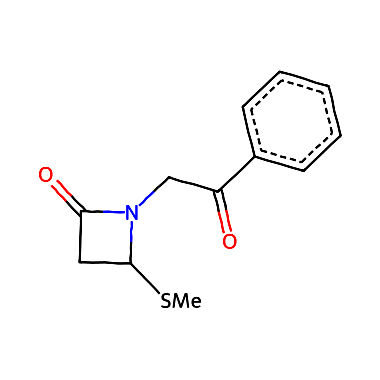 CSC1CC(=O)N1CC(=O)c1ccccc1